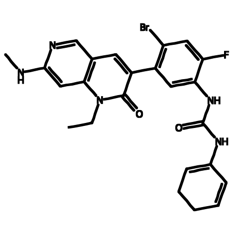 CCn1c(=O)c(-c2cc(NC(=O)NC3=CCCC=C3)c(F)cc2Br)cc2cnc(NC)cc21